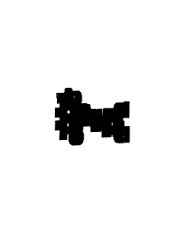 O=c1ccc2cc3ccoc3c(OCCCN(CCCl)CCCl)c2o1